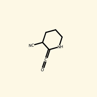 N#CC1CCCNC1=C=O